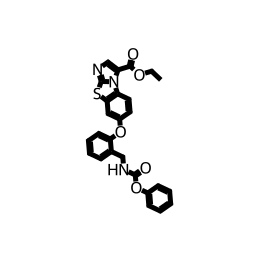 CCOC(=O)c1cnc2sc3cc(Oc4ccccc4CNC(=O)Oc4ccccc4)ccc3n12